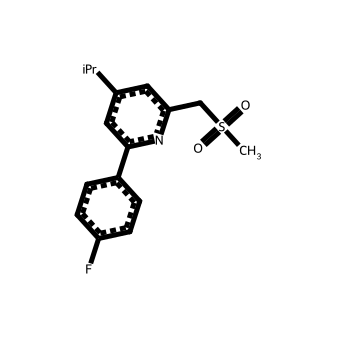 CC(C)c1cc(CS(C)(=O)=O)nc(-c2ccc(F)cc2)c1